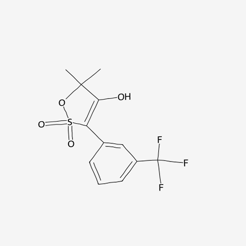 CC1(C)OS(=O)(=O)C(c2cccc(C(F)(F)F)c2)=C1O